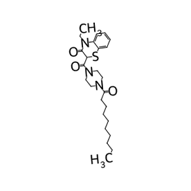 CCCCCCCCCC(=O)N1CCN(C(=O)C2Sc3ccccc3N(CC)C2=O)CC1